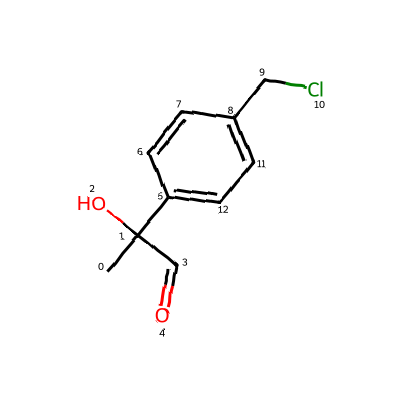 CC(O)(C=O)c1ccc(CCl)cc1